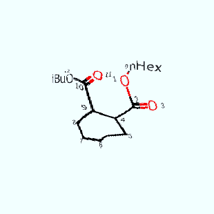 CCCCCCOC(=O)C1CCCCC1C(=O)OCC(C)C